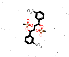 CS(=O)(=O)OC(CCC(OS(C)(=O)=O)c1cccc([N+](=O)[O-])c1)c1cccc([N+](=O)[O-])c1